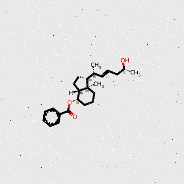 C[C@H](/C=C/C[C@@H](C)O)[C@H]1CC[C@H]2[C@@H](OC(=O)c3ccccc3)CCC[C@]12C